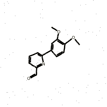 COc1ccc(-c2cccc(C=O)n2)cc1OC